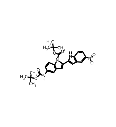 CC(C)(C)OC(=O)Nc1ccc2c(c1)cc(-c1cc3cc([N+](=O)[O-])ccc3[nH]1)n2C(=O)OC(C)(C)C